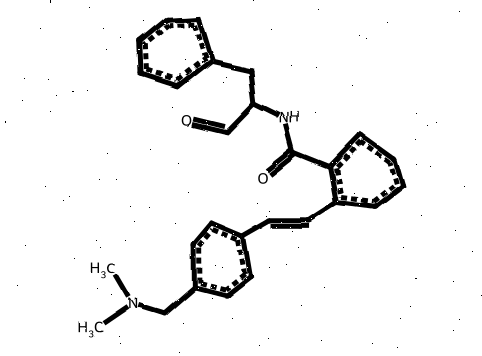 CN(C)Cc1ccc(C=Cc2ccccc2C(=O)NC(C=O)Cc2ccccc2)cc1